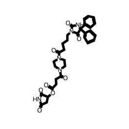 O=C1CC(OC(=O)CCC(=O)N2CCN(C(=O)CCCCN3C(=O)NC(c4ccccc4)(c4ccccc4)C3=O)CC2)C(=O)N1